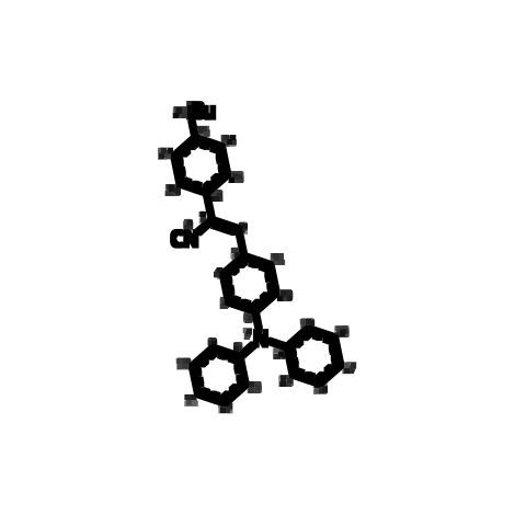 [C-]#[N+]/C(=C\c1ccc(N(c2ccccc2)c2ccccc2)cc1)c1ccc(C(C)CC)cc1